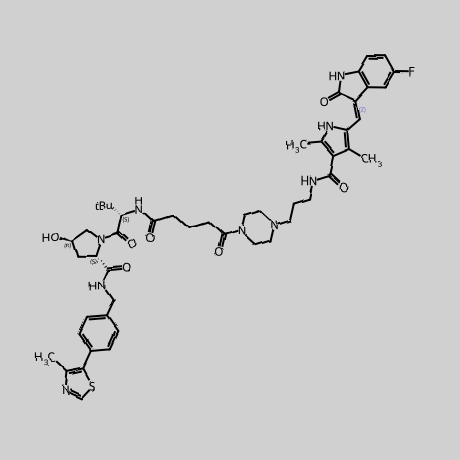 Cc1ncsc1-c1ccc(CNC(=O)[C@@H]2C[C@@H](O)CN2C(=O)[C@@H](NC(=O)CCCC(=O)N2CCN(CCCNC(=O)c3c(C)[nH]c(/C=C4\C(=O)Nc5ccc(F)cc54)c3C)CC2)C(C)(C)C)cc1